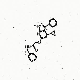 C[C@H](NC(=O)COc1cc(C2CC2)c2c(-c3ccccc3)nn(C)c2n1)c1ccccc1